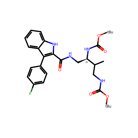 CC(CNC(=O)OC(C)(C)C)[C@@H](CNC(=O)c1[nH]c2ccccc2c1-c1ccc(F)cc1)NC(=O)OC(C)(C)C